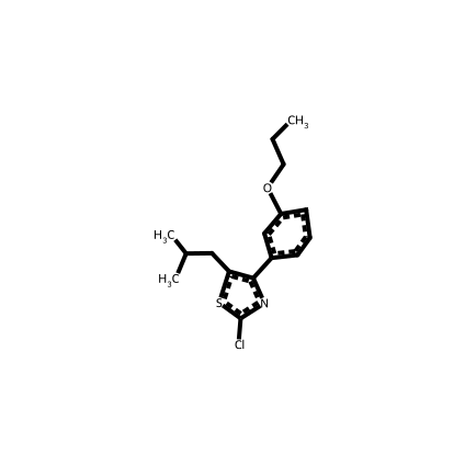 CCCOc1cccc(-c2nc(Cl)sc2CC(C)C)c1